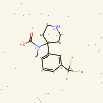 CN(C(=O)O)C1(c2cccc(C(F)(F)F)c2)CCNCC1